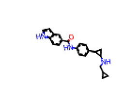 O=C(Nc1ccc(C2CC2NCC2CC2)cc1)c1ccc2[nH]ccc2c1